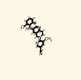 Cc1cc(C#N)cnc1N1CCc2ncc(Nc3c(F)cccc3Cl)cc2C1